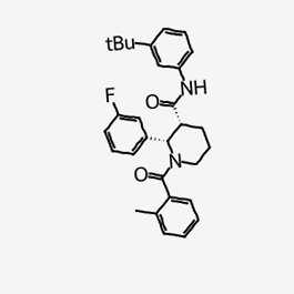 Cc1ccccc1C(=O)N1CCC[C@@H](C(=O)Nc2cccc(C(C)(C)C)c2)[C@H]1c1cccc(F)c1